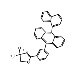 CC1(C)COC(c2cccc(-c3c4ccccc4c(-c4cccc5ccccc45)c4ccccc34)c2)=N1